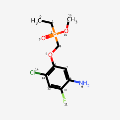 CCP(=O)(COc1cc(N)c(F)cc1Cl)OC